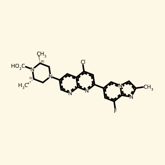 Cc1cn2cc(-c3cc(Cl)c4cc(N5C[C@@H](C)N(C(=O)O)[C@@H](C)C5)cnc4n3)cc(F)c2n1